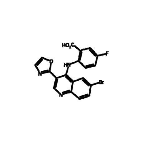 O=C(O)c1cc(F)ccc1Nc1c(-c2ncco2)cnc2ccc(Br)cc12